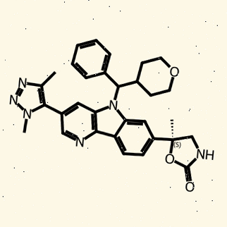 Cc1nnn(C)c1-c1cnc2c3ccc([C@@]4(C)CNC(=O)O4)cc3n(C(c3ccccc3)C3CCOCC3)c2c1